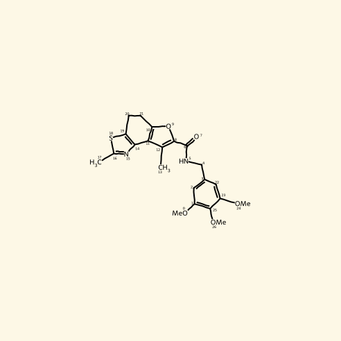 COc1cc(CNC(=O)c2oc3c(c2C)-c2nc(C)sc2CC3)cc(OC)c1OC